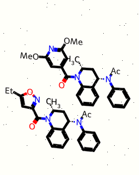 CCc1cc(C(=O)N2c3ccccc3[C@@H](N(C(C)=O)c3ccccc3)C[C@H]2C)no1.COc1cc(C(=O)N2c3ccccc3[C@@H](N(C(C)=O)c3ccccc3)C[C@H]2C)cc(OC)n1